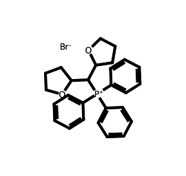 [Br-].c1ccc([P+](c2ccccc2)(c2ccccc2)C(C2CCCO2)C2CCCO2)cc1